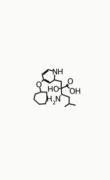 CC(C)C[C@H](N)[C@](O)(CC1C=C(OC2CCCCCC2)C=CN1)C(=O)O